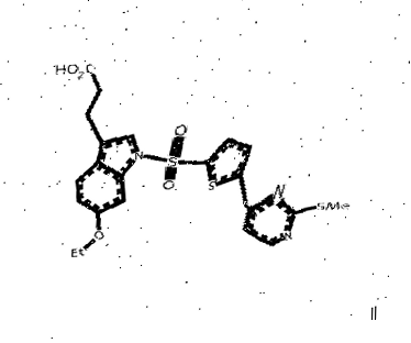 CCOc1ccc2c(CCC(=O)O)cn(S(=O)(=O)c3ccc(-c4ccnc(SC)n4)s3)c2c1